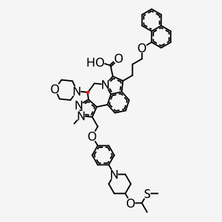 CSC(C)OC1CCN(c2ccc(OCc3c(-c4cccc5c(CCCOc6cccc7ccccc67)c(C(=O)O)n(CCN6CCOCC6)c45)c(C)nn3C)cc2)CC1